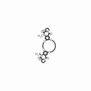 CN1C(=O)[C@@H]2CCCN2C(=O)c2cc3c(cc21)OCCCOc1cc2c(cc1OCCCCCCCO3)C(=O)N1CCC[C@H]1C(=O)N2C